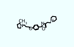 CC1CCCN1CCCOc1ccc(-c2nc(CCN3CCCCC3)co2)cc1